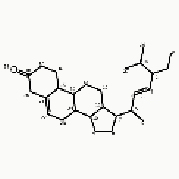 CCC(/C=C/C(C)C1CCC2C1CCC1C3CCC(=O)CC3=CCC12)C(C)C